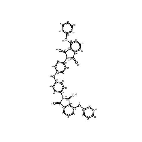 O=C1c2cccc(Oc3ccccc3)c2C(=O)N1c1ccc(Oc2ccc(N3C(=O)c4cccc(Oc5ccccc5)c4C3=O)cc2)cc1